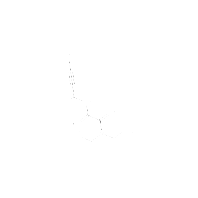 CCN(CC)C(=O)C(=O)OCC#CF